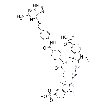 CCN1/C(=C/C=C/C=C/C2=[N+](CC)c3ccc(S(=O)(=O)O)cc3C2(C)C)C(C)(CCCC(=O)NC2CCC(C(=O)Nc3ccc(COc4nc(N)nc5[nH]cnc45)cc3)CC2)c2cc(S(=O)(=O)O)ccc21